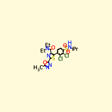 CCN(CC)C(=O)c1nc(-c2nnc(C)o2)sc1-c1ccc(S(=O)(=O)NC(C)C)c(Cl)c1Cl